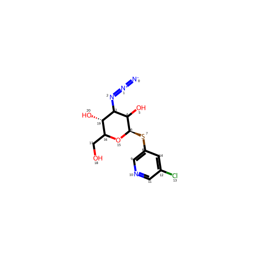 [N-]=[N+]=NC1C(O)[C@@H](Sc2cncc(Cl)c2)OC(CO)[C@@H]1O